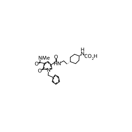 CNC(=O)c1cc(C(=O)NCC[C@H]2CC[C@H](NC(=O)O)CC2)cn(Cc2ccccc2)c1=O